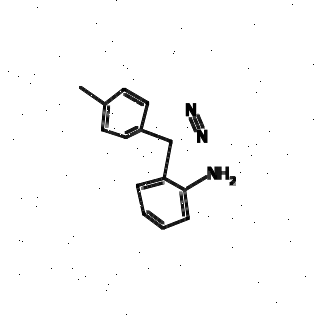 Cc1ccc(Cc2ccccc2N)cc1.N#N